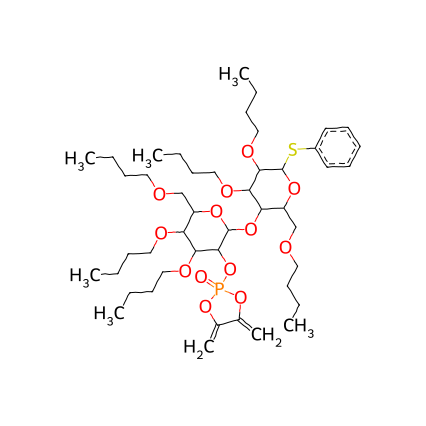 C=C1OP(=O)(OC2C(OC3C(COCCCC)OC(Sc4ccccc4)C(OCCCC)C3OCCCC)OC(COCCCC)C(OCCCC)C2OCCCC)OC1=C